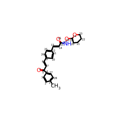 Cc1ccc(C(=O)C=Cc2ccc(C=CC(=O)NOC3CCCCO3)cc2)cc1